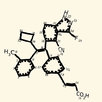 Cc1ccccc1C(=C(c1ccc(C=CC(=O)O)cc1)c1ccc2[nH]nc(F)c2c1C#N)C1CCC1